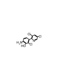 Nc1ccc(-c2ncc(Cl)cc2Cl)c(Cl)c1O